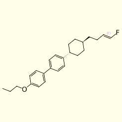 CCCOc1ccc(-c2ccc([C@H]3CC[C@H](CC/C=C/F)CC3)cc2)cc1